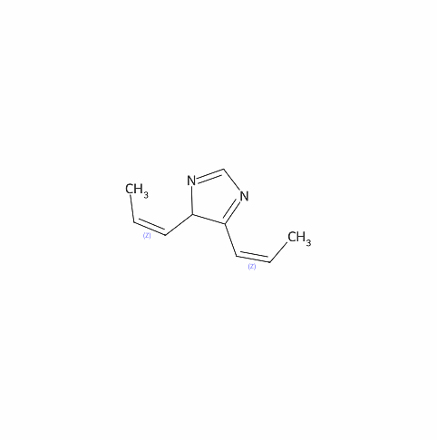 C/C=C\C1=NC=NC1/C=C\C